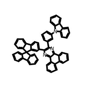 c1cc(-c2nc3c4ccccc4c4ccccc4c3nc2-c2ccc3c(c2)C2(c4ccccc4-c4ccccc42)c2ccccc2-3)cc(-n2c3ccccc3c3ccccc32)c1